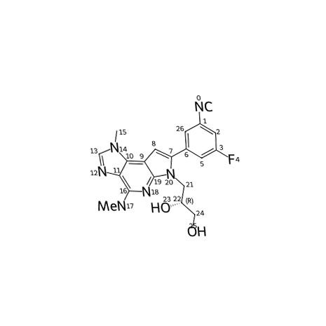 [C-]#[N+]c1cc(F)cc(-c2cc3c4c(ncn4C)c(NC)nc3n2C[C@@H](O)CO)c1